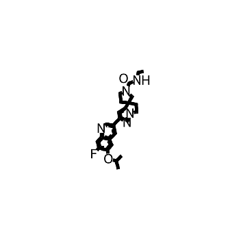 CCNC(=O)N1CCC2(CCn3nc(-c4cnc5cc(F)c(OC(C)C)cc5c4)cc32)C1